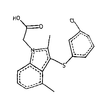 Cc1cccc2c1c(Sc1cccc(Cl)c1)c(C)n2CC(=O)O